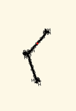 CNC(=O)[C@@H](NC(=O)CCOCCOCCOCCOCCOCCOCCNC(=O)CC(CC(=O)NCCOCCOCCOCCOCCOCCOCCC(=O)N[C@H](C(=O)NC)C(C)C)NN1C(=O)C=CC1=O)C(C)C